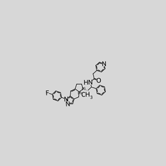 C[C@]12Cc3cnn(-c4ccc(F)cc4)c3C=C1CC[C@@H]2CC(NC(=O)Cc1ccncc1)c1ccccc1